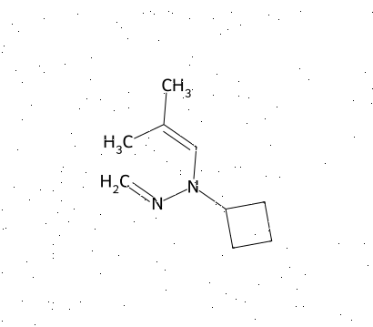 C=NN(C=C(C)C)C1CCC1